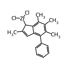 CC1=Cc2c(-c3ccccc3)c(C)c(C)c(C)c2[CH]1[Zr]([Cl])[Cl]